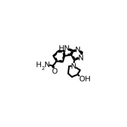 NC(=O)c1ccc2[nH]c3ncnc(N4CCCC(O)C4)c3c2c1